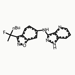 CCCCC(C)(F)c1noc2cc(Nc3n[nH]c4cccnc34)ccc12